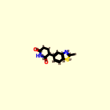 Cc1nc2cc(C3CCC(=O)NC3=O)ccc2s1